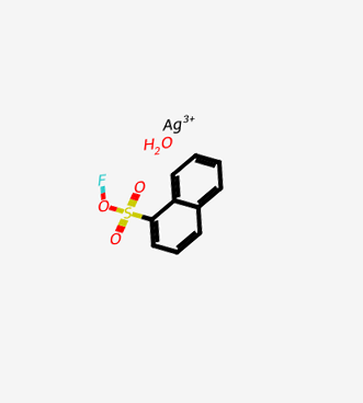 O.O=S(=O)(OF)c1cccc2ccccc12.[Ag+3]